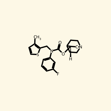 Cc1ccsc1CN(C(=O)O[C@H]1CN2CCC1CC2)c1cccc(F)c1